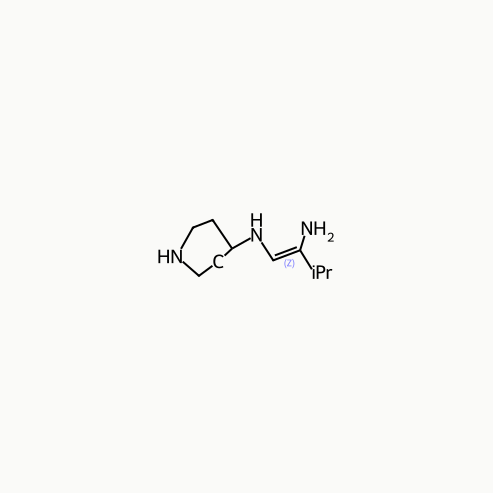 CC(C)/C(N)=C/NC1CCNCC1